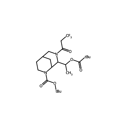 CC(OC(=O)C(C)(C)C)C1C2CC(CCN2C(=O)OC(C)(C)C)CN1C(=O)CC(F)(F)F